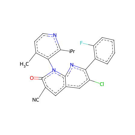 Cc1ccnc(C(C)C)c1-n1c(=O)c(C#N)cc2cc(Cl)c(-c3ccccc3F)nc21